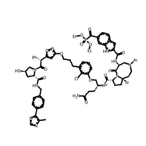 CCOP(=O)(OCC)C(=O)c1ccc2cc(C(=O)N[C@H]3CN(C(C)=O)CC[C@@H]4CC[C@H](C(=O)N[C@@H](CCC(N)=O)COc5cccc(CCCOc6cc([C@H](C(=O)N7C[C@H](O)C[C@H]7C(=O)NCc7ccc(-c8scnc8C)cc7)C(C)C)on6)c5Cl)N4C3=O)[nH]c2c1